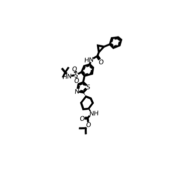 CC(C)OC(=O)N[C@H]1CC[C@H](c2ncc(-c3ccc(NC(=O)C4CC4c4ccccc4)cc3S(=O)(=O)NC(C)(C)C)s2)CC1